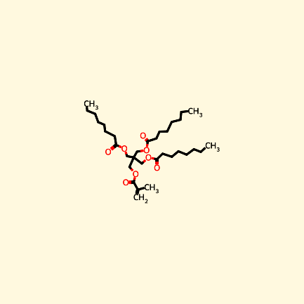 C=C(C)C(=O)OCC(COC(=O)CCCCCCC)(COC(=O)CCCCCCC)COC(=O)CCCCCCC